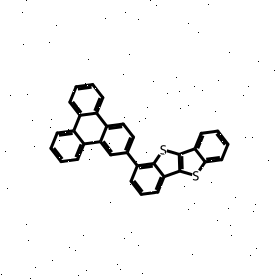 c1ccc2c(c1)sc1c3cccc(-c4ccc5c6ccccc6c6ccccc6c5c4)c3sc21